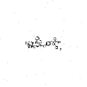 CCOC(Cc1ccc(OCCN(CCOC(F)(F)C(F)(F)C(F)(F)F)C(=O)NC2CCCC2)cc1)C(=O)O